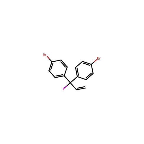 C=CC(I)(c1ccc(Br)cc1)c1ccc(Br)cc1